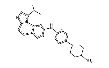 CC(C)n1cnc2ccc3cnc(Nc4ccc(N5CCC(N)CC5)cn4)nc3c21